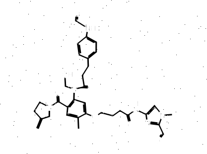 C=C1CCN(C(=O)c2cc(C)c(OCCCC(=O)Nc3cn(C)c(C=O)n3)cc2N(CO)C(=O)CCc2ccc(NC=O)cc2)C1